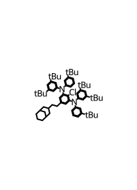 CC(C)(C)c1cccc(N(c2cc(C(C)(C)C)cc(C(C)(C)C)c2)c2cc(CCC3CC4CCCC(C4)C3)cc(N(c3cccc(C(C)(C)C)c3)c3cc(C(C)(C)C)cc(C(C)(C)C)c3)c2Cl)c1